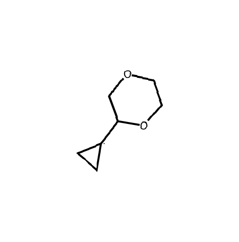 C1COC([C]2CC2)CO1